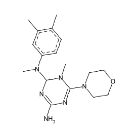 Cc1ccc(N(C)C2N=C(N)N=C(N3CCOCC3)N2C)cc1C